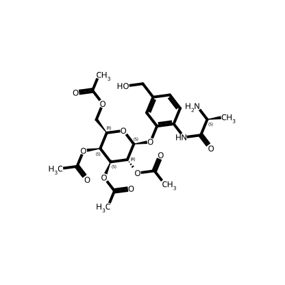 CC(=O)OC[C@H]1O[C@@H](Oc2cc(CO)ccc2NC(=O)[C@H](C)N)[C@H](OC(C)=O)[C@@H](OC(C)=O)[C@H]1OC(C)=O